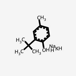 Cc1ccc(O)c(C(C)(C)C)c1.[KH].[NaH]